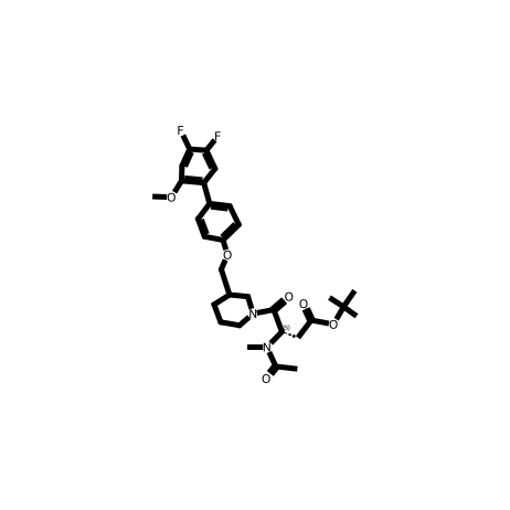 COc1cc(F)c(F)cc1-c1ccc(OCC2CCCN(C(=O)[C@H](CC(=O)OC(C)(C)C)N(C)C(C)=O)C2)cc1